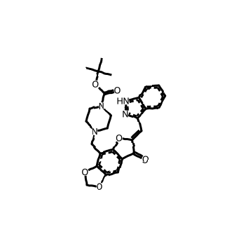 CC(C)(C)OC(=O)N1CCN(Cc2c3c(cc4c2O/C(=C\c2n[nH]c5ccccc25)C4=O)OCO3)CC1